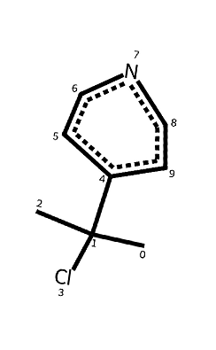 CC(C)(Cl)c1ccncc1